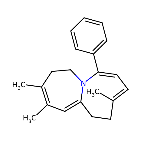 CC1=C(C)CCN2C(=C1)CC/C(C)=C/C=C\2c1ccccc1